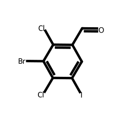 O=Cc1cc(I)c(Cl)c(Br)c1Cl